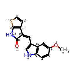 COc1ccc2[nH]cc(C=C3C(=O)Nc4sccc43)c2c1